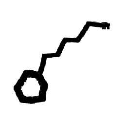 CC(C)C[CH]CCCc1ccccc1